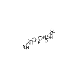 CC(=O)NC[C@H]1CN(c2ccc(-c3ccc(C(C)NCc4nccs4)cc3)c(F)c2)C(=O)O1